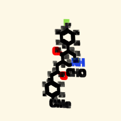 COc1ccc(CC(CC2CNCC(c3ccc(F)cc3)C2=O)OC=O)cc1